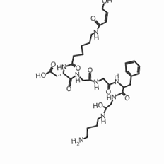 NCCCCNC(O)CNC(=O)C(Cc1ccccc1)NC(=O)CNC(=O)CNC(=O)[C@H](CC(=O)O)NC(=O)CCCCCNC(=O)/C=C\CO